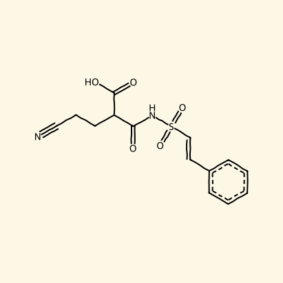 N#CCCC(C(=O)O)C(=O)NS(=O)(=O)C=Cc1ccccc1